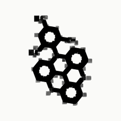 Cc1cc(C)c(B2c3cccc4c3C3c5c(cccc5Sc5cccc2c53)S4)c(C)c1